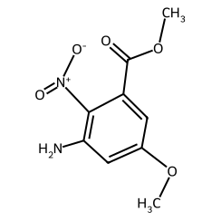 COC(=O)c1cc(OC)cc(N)c1[N+](=O)[O-]